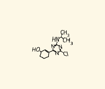 CC(C)Nc1nc(Cl)nc(C2=CC(O)CCC2)n1